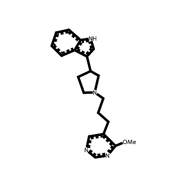 COc1ncncc1CCCN1CCC(c2c[nH]c3ccccc23)C1